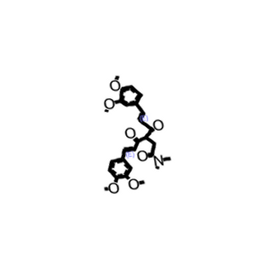 COc1ccc(/C=C/C(=O)C(CC(=O)N(C)C)C(=O)/C=C/c2ccc(OC)c(OC)c2)cc1OC